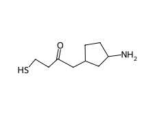 NC1CCC(CC(=O)CCS)C1